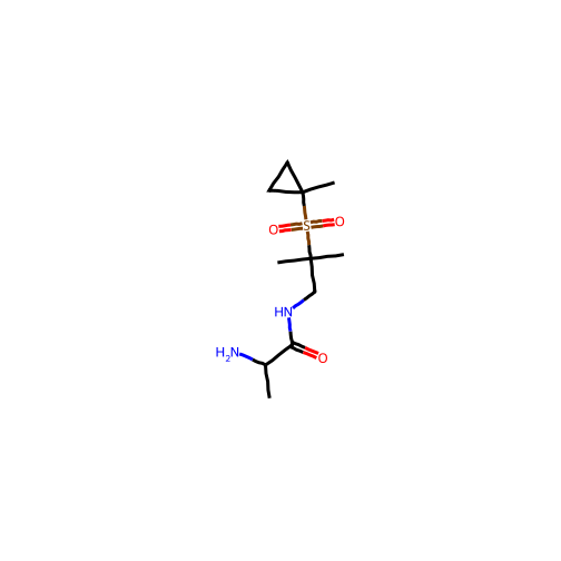 CC(N)C(=O)NCC(C)(C)S(=O)(=O)C1(C)CC1